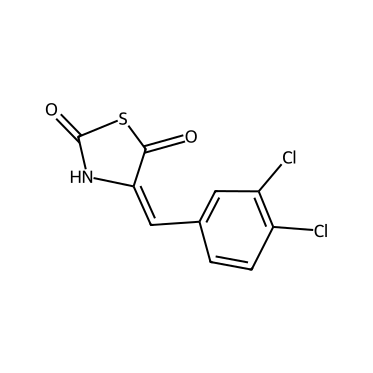 O=C1NC(=Cc2ccc(Cl)c(Cl)c2)C(=O)S1